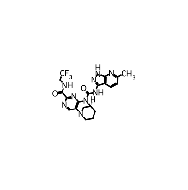 Cc1ccc2c(NC(=O)N3c4nc(C(=O)NCC(F)(F)F)ncc4N4CCC[C@H]3C4)n[nH]c2n1